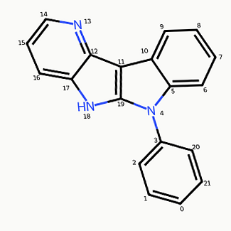 c1ccc(-n2c3ccccc3c3c4ncccc4[nH]c32)cc1